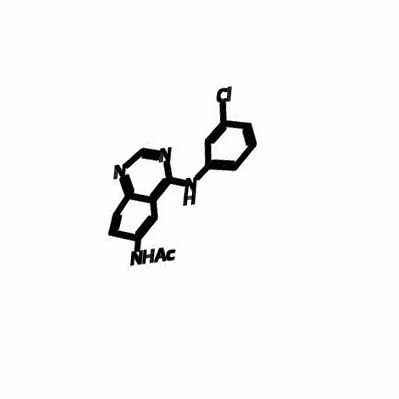 CC(=O)Nc1ccc2ncnc(Nc3cccc(Cl)c3)c2c1